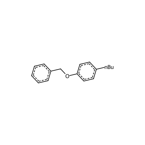 [CH2]CCCc1ccc(OCc2ccccc2)cc1